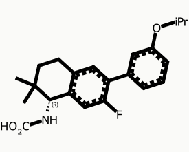 CC(C)Oc1cccc(-c2cc3c(cc2F)[C@H](NC(=O)O)C(C)(C)CC3)c1